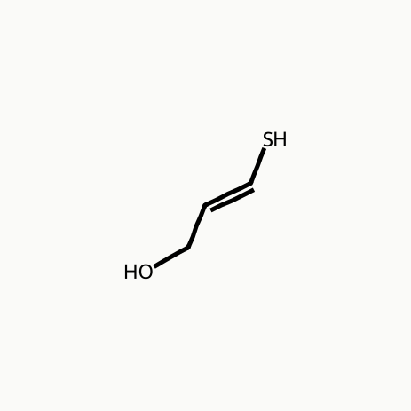 OCC=CS